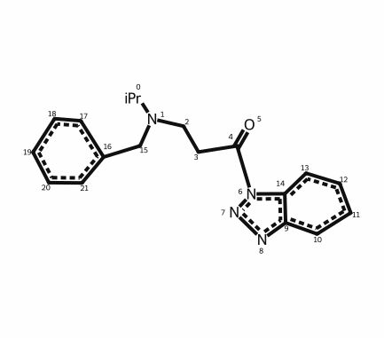 CC(C)N(CCC(=O)n1nnc2ccccc21)Cc1ccccc1